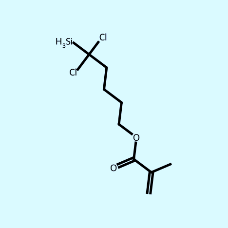 C=C(C)C(=O)OCCCCC([SiH3])(Cl)Cl